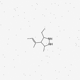 C/C=C(\C)C1C(C)NNC1CC